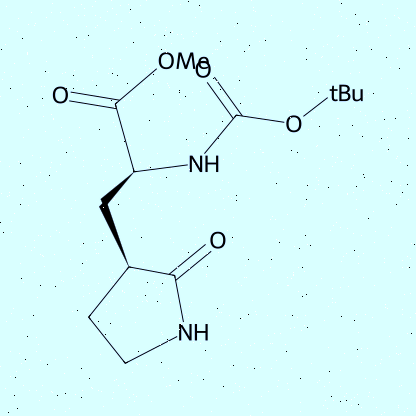 COC(=O)[C@H](C[C@@H]1CCNC1=O)NC(=O)OC(C)(C)C